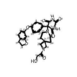 O=C1NC(=O)C(c2ccc(Oc3ccc4c(c3)OCC4)cc2)(N2CCC3(CC2)CN(C(=O)CO)C3)C(=O)N1